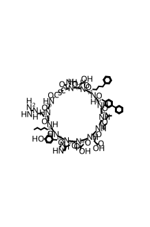 CCCCC[C@@H]1NC(=O)[C@H](CCCNC(=N)N)NC(=O)[C@H](C)NC(=O)CSC[C@@H](C(N)=O)NC(=O)[C@H](CC(=O)O)NC(=O)[C@H](CCCCc2ccccc2)NC(=O)[C@H](Cc2ccc(-c3ccccc3)cc2)NC(=O)[C@H](CC(C)C)NC(=O)[C@H](C(C)C)NC(=O)[C@H](CCC(=O)O)NC(=O)[C@H](CC(=O)O)NC(=O)[C@H](Cc2c[nH]cn2)NC(=O)[C@H](Cc2ccc(O)cc2)NC1=O